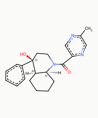 Cc1cnc(C(=O)N2CC[C@@](O)(c3ccccc3)[C@@H]3CCCC[C@@H]32)cn1